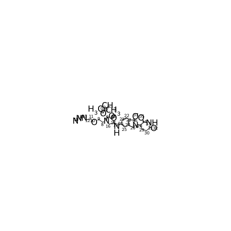 CC(C)(C)OC(=O)N(CCOCCN=[N+]=[N-])CC(=O)Nc1ccc2c(c1)CN(C1CCC(=O)NC1=O)C2=O